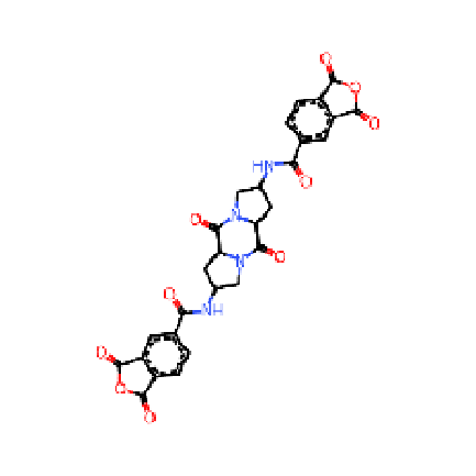 O=C(NC1CC2C(=O)N3CC(NC(=O)c4ccc5c(c4)C(=O)OC5=O)CC3C(=O)N2C1)c1ccc2c(c1)C(=O)OC2=O